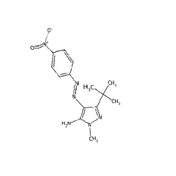 Cn1nc(C(C)(C)C)c(N=Nc2ccc([N+](=O)[O-])cc2)c1N